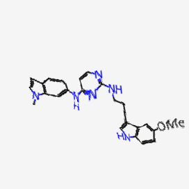 COc1ccc2[nH]cc(CCNc3nccc(Nc4ccc5ccn(C)c5c4)n3)c2c1